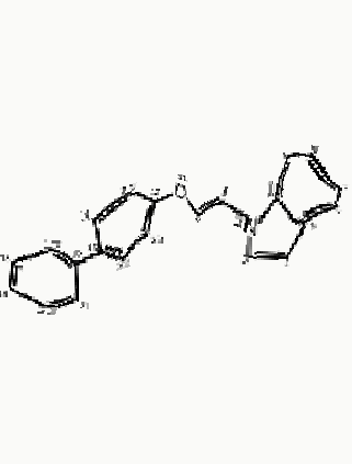 C(=Cn1ccc2ccccc21)Oc1ccc(-c2ccccc2)cc1